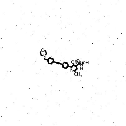 COc1c(C(=O)NO)cc(C)nc1-c1ccc(C#Cc2ccc(CN3CCOCC3)cc2)cc1